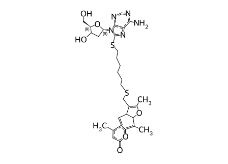 CC1=C(CSCCCCCCSc2nc3c(N)ncnc3n2[C@H]2CC(O)[C@@H](CO)O2)C2C=c3c(C)cc(=O)oc3=C(C)C2O1